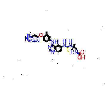 Cc1cc(Nc2ncnc3ccc(NC(=S)NC(C)(C)CNC(=O)O)cc23)ccc1Oc1cc2nncn2cn1